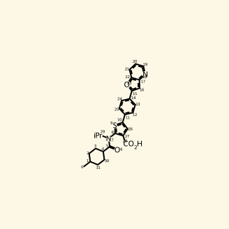 CC1CCC(C(=O)N(c2sc(-c3ccc(-c4cc5ncccc5o4)cc3)cc2C(=O)O)C(C)C)CC1